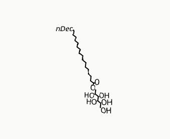 CCCCCCCCCCCCCCCCCCCCCCCCCCC(=O)OC[C@H](O)[C@@H](O)[C@H](O)[C@H](O)CO